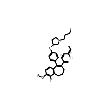 C=C(/C=C\C(Cl)=C/C)C1=C(c2ccc(O[C@H]3CCN(CCCF)C3)cc2)c2ccc(OF)c(F)c2CCC1